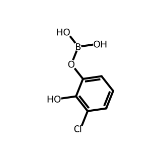 OB(O)Oc1cccc(Cl)c1O